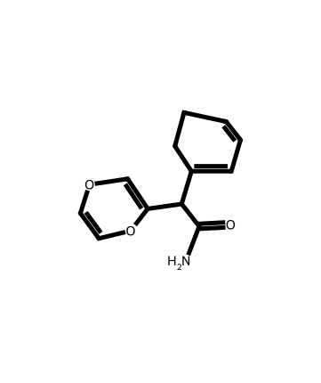 NC(=O)C(C1=CC=CCC1)C1=COC=CO1